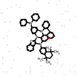 CC1(C)CCC(C)(C)c2cc(N3c4cccc5c4B(c4ccc(N(c6ccccc6)c6ccccc6)cc4N5c4ccccc4-c4ccccc4)c4oc5ccccc5c43)ccc21